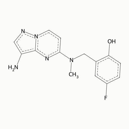 CN(Cc1cc(F)ccc1O)c1ccn2ncc(N)c2n1